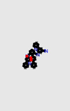 N#Cc1ccc2c(c1)c1ccccc1n2-c1ccc(C#N)c(-c2ccc(-c3ccccc3-n3c4ccccc4c4ccccc43)cc2)c1C#N